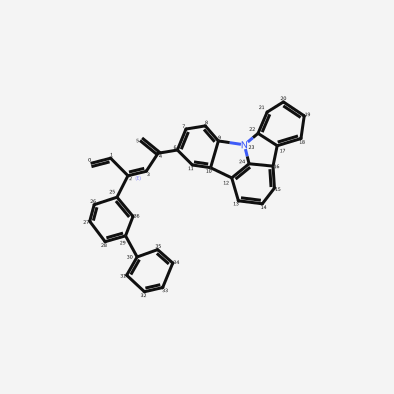 C=C/C(=C\C(=C)c1ccc2c(c1)c1cccc3c4ccccc4n2c31)c1cccc(-c2ccccc2)c1